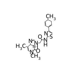 CC1=CN(C)C(=O)[C@@]2(I)C1N=CN2CC(=O)Nc1nc(C2=CCC(C)C=C2)cs1